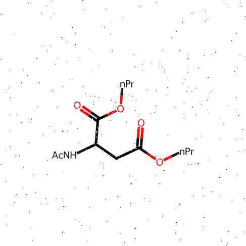 CCCOC(=O)CC(NC(C)=O)C(=O)OCCC